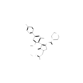 CON=C(C)CC1CC(OC(=O)N2CCOCC2)=C(c2c(C)cc(-c3ccc(Cl)cc3)cc2OC)C1=O